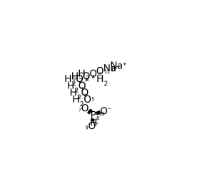 O.O.O.O.O.O.O.O=[PH]([O-])[O-].[Na+].[Na+]